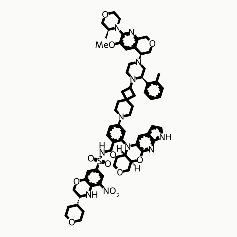 COc1cc2c(nc1N1CCOC[C@@H]1C)COC[C@H]2N1CCN(C2CC3(CCN(c4ccc(C(=O)NS(=O)(=O)c5cc6c(c([N+](=O)[O-])c5)N[C@H](C5CCOCC5)CO6)c(N5c6cc7cc[nH]c7nc6O[C@H]6COCC[C@@H]65)c4)CC3)C2)[C@H](c2ccccc2C)C1